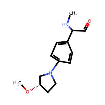 CNC(C=O)c1ccc(N2CC[C@H](OC)C2)cc1